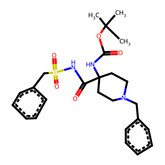 CC(C)(C)OC(=O)NC1(C(=O)NS(=O)(=O)Cc2ccccc2)CCN(Cc2ccccc2)CC1